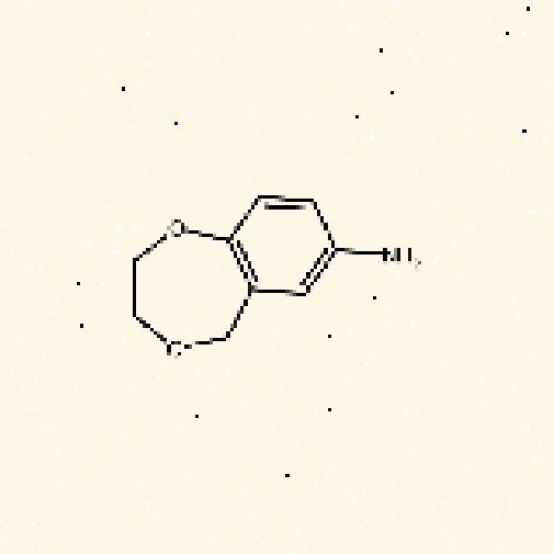 Nc1ccc2c(c1)COCCO2